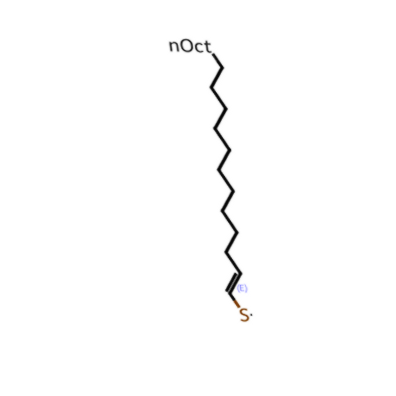 CCCCCCCCCCCCCCCCCC/C=C/[S]